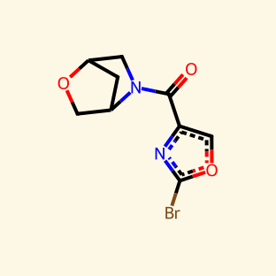 O=C(c1coc(Br)n1)N1CC2CC1CO2